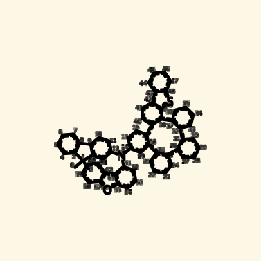 CC1(C)c2ccccc2-c2ccc(N(c3ccc4c(c3)c3ccccc3c3ccccc3c3ccccc3c3c4ccc4c5ccccc5sc43)c3cccc4oc5ccccc5c34)cc21